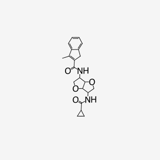 CC1=C(C(=O)NC2COC3C(NC(=O)C4CC4)COC23)Cc2ccccc21